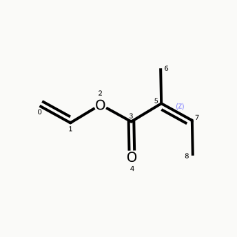 C=COC(=O)/C(C)=C\C